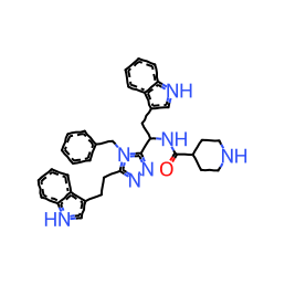 O=C(NC(Cc1c[nH]c2ccccc12)c1nnc(CCc2c[nH]c3ccccc23)n1Cc1ccccc1)C1CCNCC1